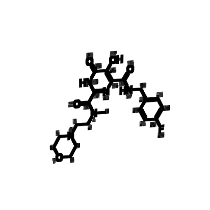 CN(CCN1CCOCC1)C(=O)c1nc(C(=O)NCc2ccc(F)cc2)c(O)c(=O)[nH]1